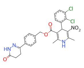 CC1=C(C(=O)OCc2ccc(C3=NNC(=O)CC3)cc2)C(c2cccc(Cl)c2Cl)C([N+](=O)[O-])=C(C)N1